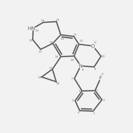 Fc1ccccc1CN1CCOc2cc3c(c(C4CC4)c21)CCNCC3